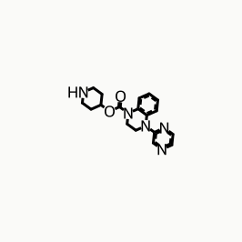 O=C(OC1CCNCC1)N1CCN(c2cnccn2)c2ccccc21